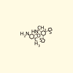 Cc1ccc(N)cc1C(=O)N[C@H](C)c1cc(-c2cccs2)cc(-c2cccs2)c1